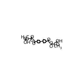 C[C@H](CC(=O)O)C(=O)OCC(=O)c1ccc(-c2ccc(C(=O)COC(=O)[C@H](C)CC(=O)O)cc2)cc1